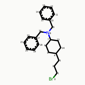 BrCCCC1CCC(N(Cc2ccccc2)Cc2ccccc2)CC1